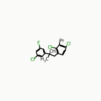 CC(C)c1c(Cl)ccc(CC(C)(C)c2cc(F)cc(Cl)c2)c1Cl